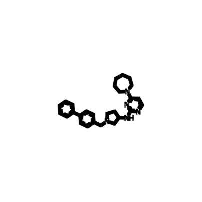 c1ccc(-c2ccc(CN3CCC(Nc4nccc(N5CCCCCC5)n4)C3)cc2)cc1